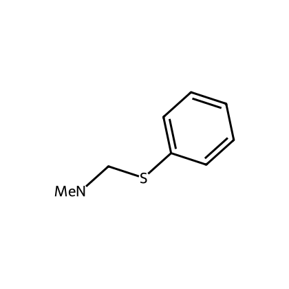 CNCSc1ccccc1